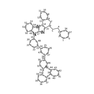 c1ccc(CCC2Cc3ccccc3-c3c2nc2n(-c4cccc(-c5cccc(-c6ccc7c8ccccc8c8ccccc8c7c6)c5)c4)c4ccccc4n32)cc1